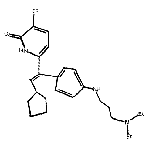 CCN(CC)CCCNc1ccc(/C(=C\C2CCCC2)c2ccc(C(F)(F)F)c(=O)[nH]2)cc1